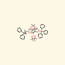 CC1(C)O[C@H]2[C@H](O1)C(COC(c1ccccc1)(c1ccccc1)c1ccccc1)=C(B1OC(C)(C)C(C)(C)O1)[C@@H]2OCC(C)(C)[SiH](c1ccccc1)c1ccccc1